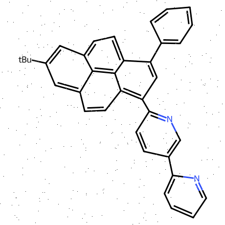 CC(C)(C)c1cc2ccc3c(-c4ccccc4)cc(-c4ccc(-c5ccccn5)cn4)c4ccc(c1)c2c34